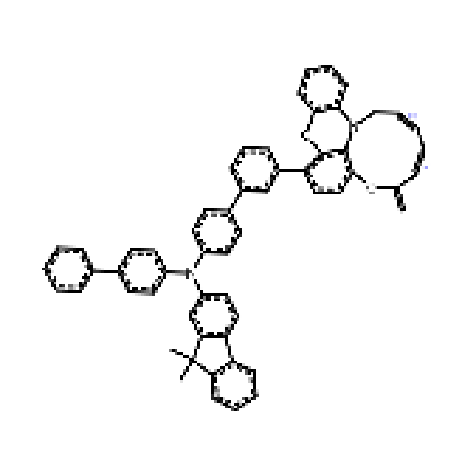 C=C1/C=C\C=C/CN2c3ccccc3Oc3c(-c4cccc(-c5ccc(N(c6ccc(-c7ccccc7)cc6)c6ccc7c(c6)C(C)(C)c6ccccc6-7)cc5)c4)ccc(c32)O1